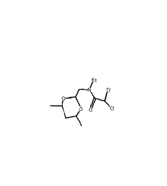 CCN(CC1OC(C)CC(C)O1)C(=O)C(Cl)Cl